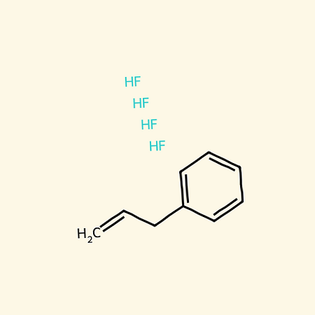 C=CCc1ccccc1.F.F.F.F